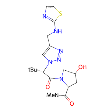 CNC(=O)C1CC(O)CN1C(=O)[C@@H](n1cc(CNc2nccs2)nn1)C(C)(C)C